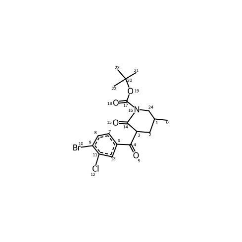 CC1CC(C(=O)c2ccc(Br)c(Cl)c2)C(=O)N(C(=O)OC(C)(C)C)C1